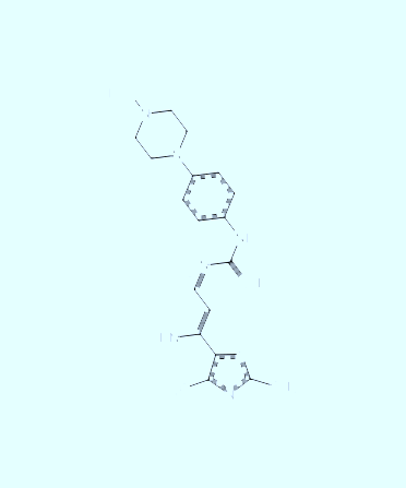 C=C(/N=C\C=C(/N)c1sc(C)nc1C)Nc1ccc(N2CCN(C)CC2)cc1